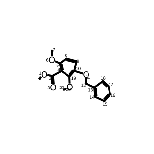 COC(=O)c1c(OC)ccc(OCc2ccccc2)c1OC